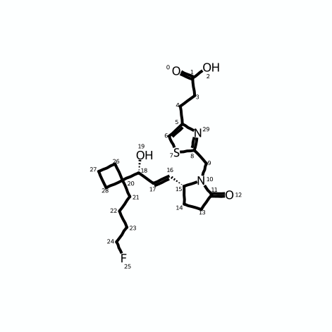 O=C(O)CCc1csc(CN2C(=O)CC[C@@H]2C=C[C@@H](O)C2(CCCCF)CCC2)n1